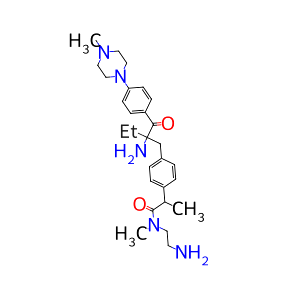 CCC(N)(Cc1ccc(C(C)C(=O)N(C)CCN)cc1)C(=O)c1ccc(N2CCN(C)CC2)cc1